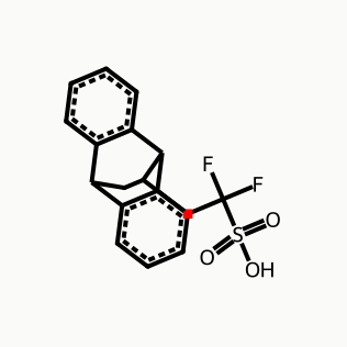 O=S(=O)(O)C(F)(F)CC1CC2c3ccccc3C1c1ccccc12